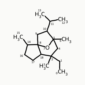 CCC1(C)CC2(C)OC3(CC2C(C)C)C(C)CCC13